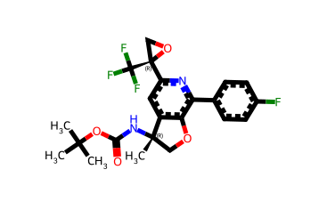 CC(C)(C)OC(=O)N[C@@]1(C)COc2c1cc([C@]1(C(F)(F)F)CO1)nc2-c1ccc(F)cc1